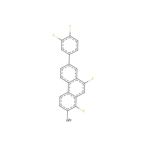 CCCc1ccc2c(cc(F)c3cc(-c4ccc(F)c(F)c4)ccc32)c1F